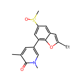 CCc1cc2cc([S+](C)[O-])cc(-c3cc(C)c(=O)n(C)c3)c2o1